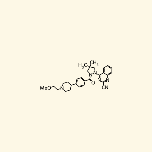 COCCN1CCC(c2ccc(C(=O)N3CC(C)(C)CN3c3nc(C#N)nc4ccccc34)cc2)CC1